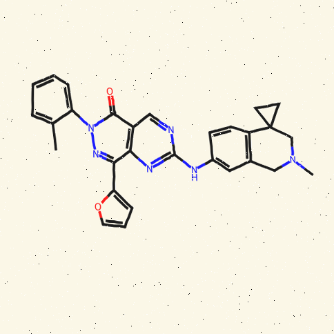 Cc1ccccc1-n1nc(-c2ccco2)c2nc(Nc3ccc4c(c3)CN(C)CC43CC3)ncc2c1=O